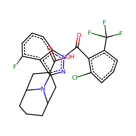 O=C(O)C1CC2CCCC(C1)N2c1nn(C(=O)c2c(Cl)cccc2C(F)(F)F)c2cccc(F)c12